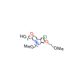 COCCCOc1cc2c(cc1Cl)-c1cc(=O)c(C(=O)O)cn1N(C(C)(C)COC)C2